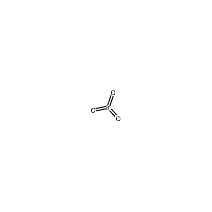 [O]=[Ir](=[O])=[O]